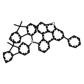 CC1(C)c2ccccc2-c2ccc(N(c3cccc4c3-c3ccccc3C4(C)C)c3cccc4c5cc(-c6ccccc6)cc6oc7cccc(c34)c7c65)cc21